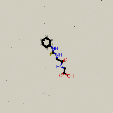 O=C(O)CNC(=O)CNC(=S)Nc1ccccc1